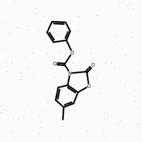 Cc1ccc2c(c1)oc(=O)n2C(=O)Oc1ccccc1